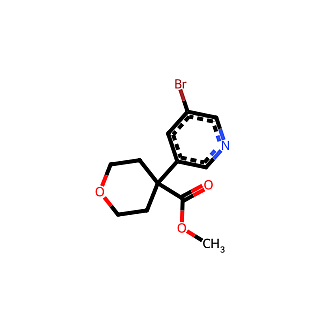 COC(=O)C1(c2cncc(Br)c2)CCOCC1